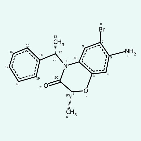 C[C@H]1Oc2cc(N)c(Br)cc2N([C@@H](C)c2ccccc2)C1=O